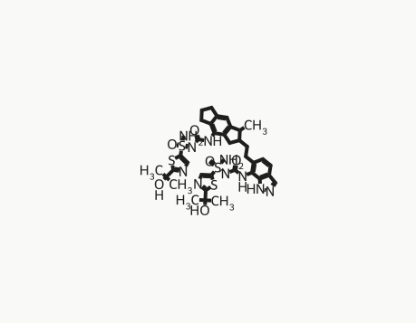 CC1c2cc3c(c(NC(=O)N=S(N)(=O)c4cnc(C(C)(C)O)s4)c2CC1CCc1ccc2cn[nH]c2c1NC(=O)N=S(N)(=O)c1cnc(C(C)(C)O)s1)CCC3